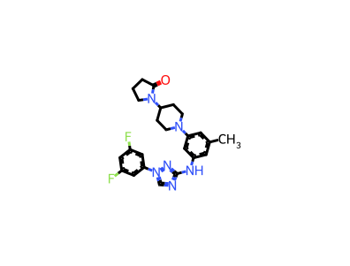 Cc1cc(Nc2ncn(-c3cc(F)cc(F)c3)n2)cc(N2CCC(N3CCCC3=O)CC2)c1